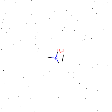 CC.CN(C)C.O